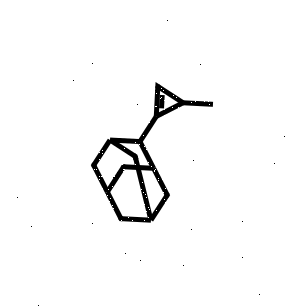 CC1C=C1C1C2CC3CC(C2)CC1C3